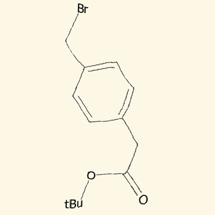 CC(C)(C)OC(=O)Cc1ccc(CBr)cc1